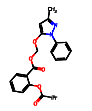 Cc1cc(OCOC(=O)c2ccccc2OC(=O)C(C)C)n(-c2ccccc2)n1